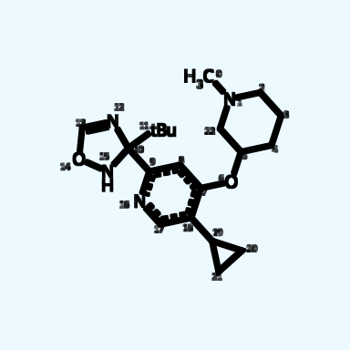 CN1CCCC(Oc2cc(C3(C(C)(C)C)N=CON3)ncc2C2CC2)C1